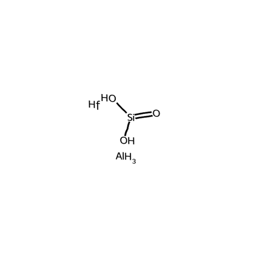 O=[Si](O)O.[AlH3].[Hf]